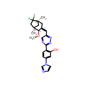 CO[C@@H]1/C(=C\c2cnc(-c3ccc(-n4ccnc4)cc3O)nn2)C[C@@]2(C)C[C@]1(C)CC2(F)F